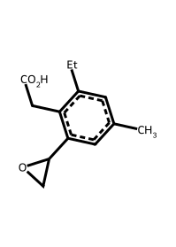 CCc1cc(C)cc(C2CO2)c1CC(=O)O